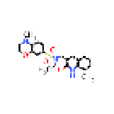 CCN(Cc1cc2cccc(C)c2[nH]c1=O)S(=O)(=O)c1ccc2c(c1)OCCN2C